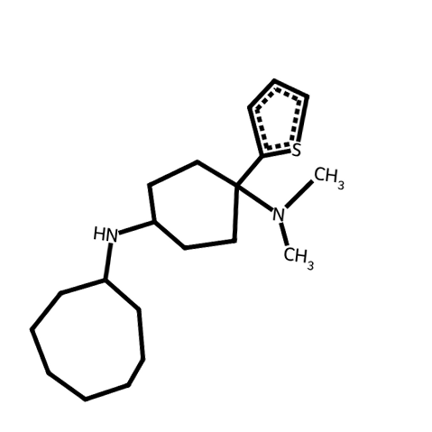 CN(C)C1(c2cccs2)CCC(NC2CCCCCCC2)CC1